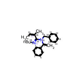 C=C(c1ccccc1)N(Cc1ccccc1)C(=N/CCCC)/C(C)=C\C